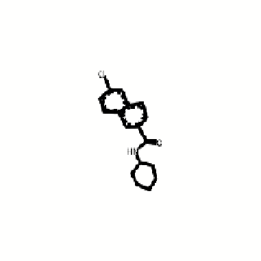 O=C(NC1CCCCC1)c1ccc2cc(Cl)ccc2c1